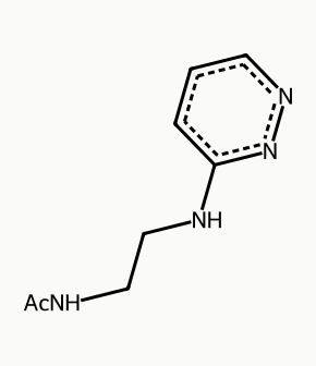 CC(=O)NCCNc1cccnn1